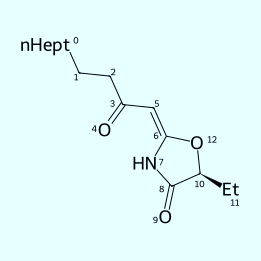 CCCCCCCCCC(=O)/C=C1\NC(=O)[C@H](CC)O1